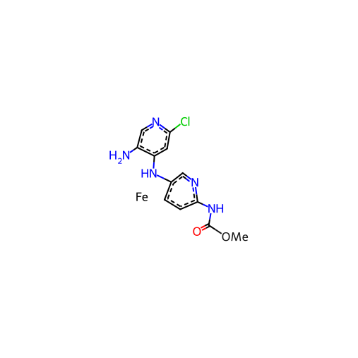 COC(=O)Nc1ccc(Nc2cc(Cl)ncc2N)cn1.[Fe]